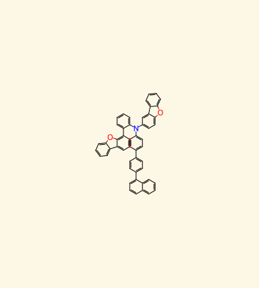 c1ccc(N(c2ccc(-c3ccc(-c4cccc5ccccc45)cc3)cc2)c2ccc3oc4ccccc4c3c2)c(-c2cccc3c2oc2ccccc23)c1